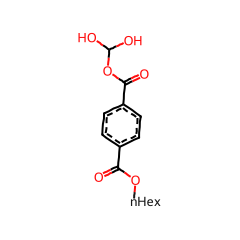 CCCCCCOC(=O)c1ccc(C(=O)OC(O)O)cc1